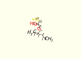 CCCCC(CC)COCC(O)CS